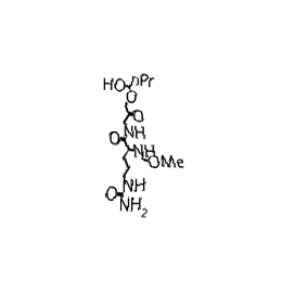 CCCC(O)OCC(=O)CNC(=O)[C@H](CCCNC(N)=O)NCOC